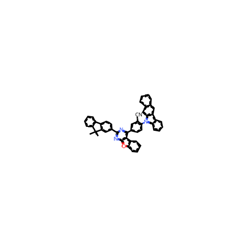 CC1(C)c2ccccc2-c2ccc(-c3nc(-c4ccc(-n5c6ccccc6c6cc7ccccc7cc65)c(C#N)c4)c4c(n3)oc3ccccc34)cc21